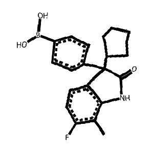 Cc1c(F)ccc2c1NC(=O)C2(c1ccc(B(O)O)cc1)C1CCCC1